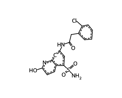 NS(=O)(=O)c1cc(NC(=O)Cc2ccccc2Cl)cc2nc(O)ccc12